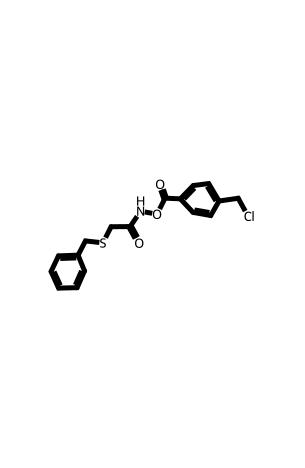 O=C(CSCc1ccccc1)NOC(=O)c1ccc(CCl)cc1